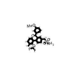 COc1cccc(C2Oc3ccc(C)c(OC(F)F)c3-c3ccc(CS(N)(=O)=O)cc32)c1